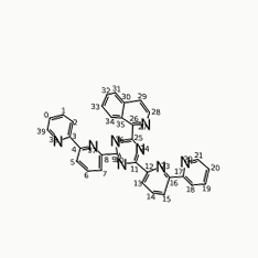 c1ccc(-c2cccc(-c3nc(-c4cccc(-c5ccccn5)n4)nc(-c4nccc5ccccc45)n3)n2)nc1